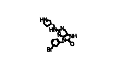 O=c1[nH]c2cnc(NC[C@@H]3CCNC3)nc2n1Cc1cccc(Br)c1